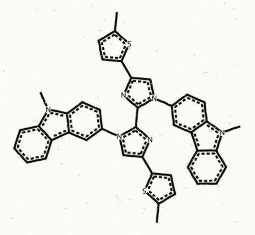 Cc1ccc(-c2cn(-c3ccc4c(c3)c3ccccc3n4C)c(-c3nc(-c4ccc(C)s4)cn3-c3ccc4c(c3)c3ccccc3n4C)n2)s1